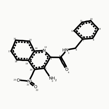 Nc1c(C(=O)NCc2ccccc2)nc2ccccc2c1[N+](=O)[O-]